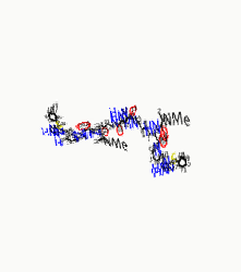 CN[C@@H](C)C(=O)N[C@@H](CCCCNC(=O)c1cc(C(=O)NCCCC[C@H](NC(=O)[C@H](C)NC)C(=O)N2CCC[C@H]2CN2NNN=C2Sc2ccccc2)[nH]n1)C(=O)N1CCC[C@H]1CN1NNN=C1Sc1ccccc1